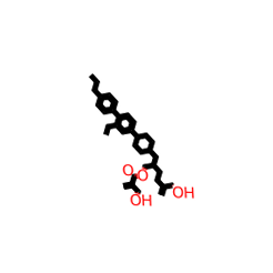 C=C(CO)CCC(COC(=O)C(=C)CO)CC1CCC(c2ccc(-c3ccc(CCC)cc3)c(CC)c2)CC1